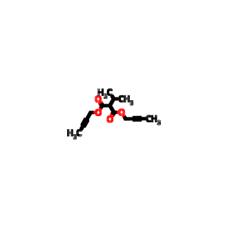 CC#CCOC(=O)C(C(=O)OCC#CC)C(C)C